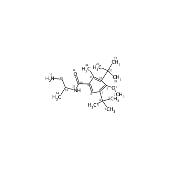 COc1c(C(C)(C)C)cc(C(=O)NC(C)CN)c(C)c1C(C)(C)C